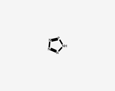 n1n[nH]pn1